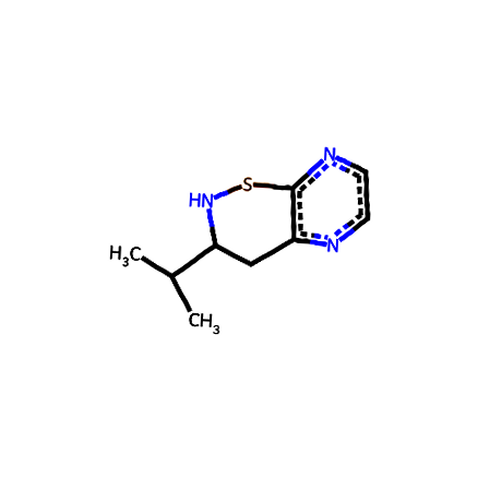 CC(C)C1Cc2nccnc2SN1